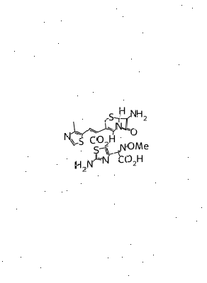 CON=C(C(=O)O)c1csc(N)n1.Cc1ncsc1C=CC1=C(C(=O)O)N2C(=O)C(N)[C@@H]2SC1